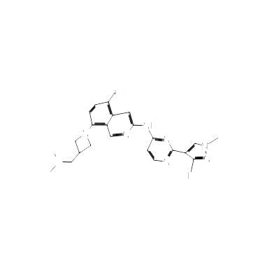 CC(C)c1ccc(N2CC(C[S+](C)[O-])C2)c2cnc(Nc3ccnc(-c4cn(C)nc4F)n3)cc12